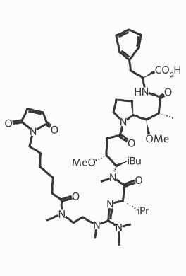 CC[C@H](C)[C@@H]([C@@H](CC(=O)N1CCC[C@H]1[C@H](OC)[C@@H](C)C(=O)N[C@@H](Cc1ccccc1)C(=O)O)OC)N(C)C(=O)[C@@H](N=C(N(C)C)N(C)CCN(C)C(=O)CCCCCN1C(=O)C=CC1=O)C(C)C